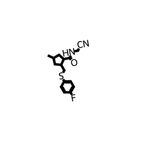 CC1CC(CSc2ccc(F)cc2)C(C(=O)NCC#N)C1